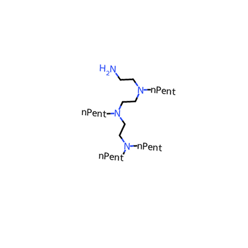 CCCCCN(CCN)CCN(CCCCC)CCN(CCCCC)CCCCC